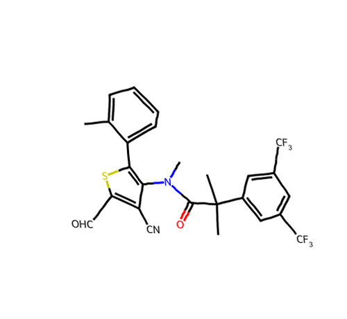 Cc1ccccc1-c1sc(C=O)c(C#N)c1N(C)C(=O)C(C)(C)c1cc(C(F)(F)F)cc(C(F)(F)F)c1